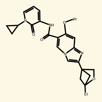 CCC12CC(c3cn4cc(C(=O)Nc5cccn(C6CC6)c5=O)c(OC(C)C)cc4n3)(CO1)C2